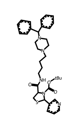 CC(C)(C)OC(=O)N1C(C(=O)NCCCCN2CCN(C(c3ccccc3)c3ccccc3)CC2)CSC1c1cccnc1